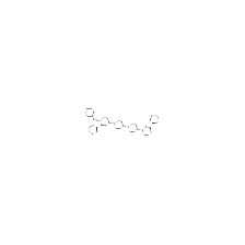 c1ccc(-n2c3ccccc3c3cc(-c4ccc(-c5ccc(-c6cccc7c6sc6ccccc67)cc5)cc4)ccc32)cc1